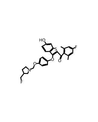 Cc1cc(F)cc(C)c1C(=O)c1sc2cc(O)ccc2c1Oc1ccc(OCN2CCC(CF)C2)cc1